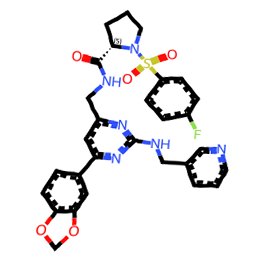 O=C(NCc1cc(-c2ccc3c(c2)OCO3)nc(NCc2cccnc2)n1)[C@@H]1CCCN1S(=O)(=O)c1ccc(F)cc1